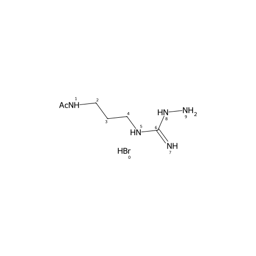 Br.CC(=O)NCCCNC(=N)NN